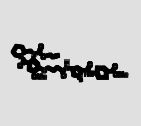 C=CCOC(=O)N1CC2CCCCN2C(=O)c2cc(OC)c(OCCCC(=O)Nc3cc(C(=O)Nc4ccc(C(=O)OC)cc4)n(C)c3)cc21